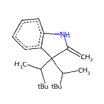 C=C1Nc2ccccc2C1(C(C)C(C)(C)C)C(C)C(C)(C)C